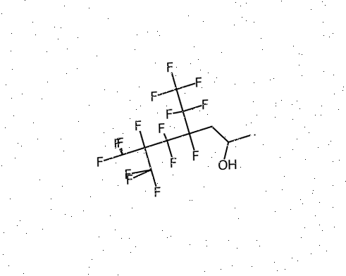 [CH2]C(O)CC(F)(C(F)(F)C(F)(F)F)C(F)(F)C(F)(C(F)(F)F)C(F)(F)F